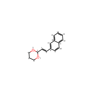 C(=CC1OCCCO1)c1ccc2ccccc2c1